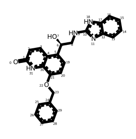 O=c1ccc2c([C@@H](O)CNc3nc4ccccc4[nH]3)ccc(OCc3ccccc3)c2[nH]1